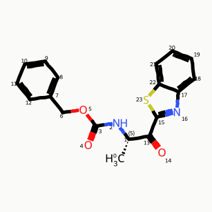 C[C@H](NC(=O)OCc1ccccc1)C(=O)c1nc2ccccc2s1